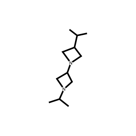 CC(C)C1CN(C2CN(C(C)C)C2)C1